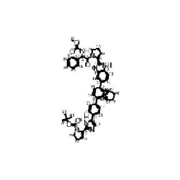 COC(=O)N[C@H](C(=O)N1CCCC1c1nc2cc(-c3ccc(-c4ccc(-c5cnc(C6CCCN6C(=O)OC(C)(C)C)[nH]5)cc4)c4c3C3CCC4C3)ccc2[nH]1)c1ccccc1